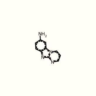 Nc1ccc2nc3ncccn3c2c1